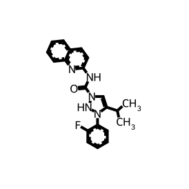 CC(C)C1=CN(C(=O)Nc2ccc3ccccc3n2)NN1c1ccccc1F